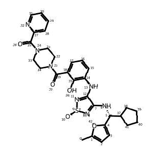 Cc1ccc([C@H](Nc2n[s+]([O-])nc2Nc2cccc(C(=O)N3CCN(C(=O)c4ccccn4)CC3)c2O)C2CCCC2)o1